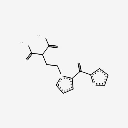 COC(=O)C(CCn1cccc1C(=O)c1ccco1)C(=O)OC